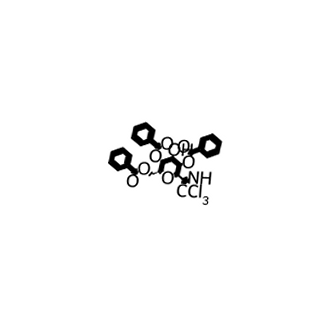 N=C([C@H]1O[C@H](COC(=O)c2ccccc2)[C@@H](OC(=O)c2ccccc2)[C@H](O)[C@H]1OC(=O)c1ccccc1)C(Cl)(Cl)Cl